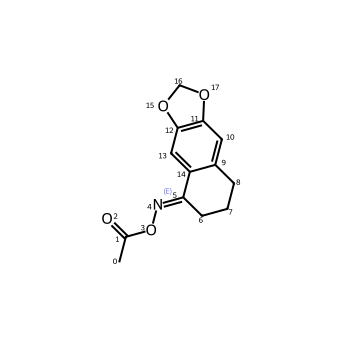 CC(=O)O/N=C1\CCCc2cc3c(cc21)OCO3